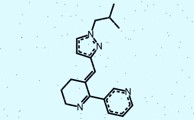 CC(C)Cn1ccc(/C=C2\CCCN=C2c2cccnc2)n1